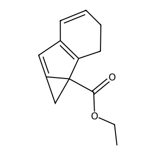 CCOC(=O)C12CC1=CC1=C2CCC=C1